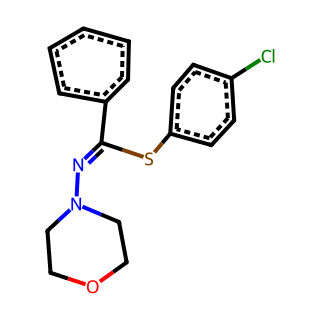 Clc1ccc(S/C(=N\N2CCOCC2)c2ccccc2)cc1